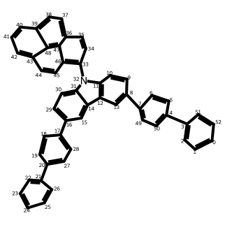 c1ccc(-c2ccc(-c3ccc4c(c3)c3cc(-c5ccc(-c6ccccc6)cc5)ccc3n4-c3ccc4ccc5cccc6ccc3c4c56)cc2)cc1